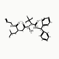 C=CCNC(=O)[C@@H](CC(=O)N(O)[C@H](C(=O)NC(c1ccccc1)c1ccccc1)C(C)(C)C)CC(C)C